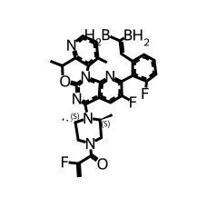 BC(B)=Cc1cccc(F)c1-c1nc2c(cc1F)c(N1[C@@H](C)CN(C(=O)C(=C)F)C[C@@H]1C)nc(=O)n2-c1c(C)ccnc1C(C)C